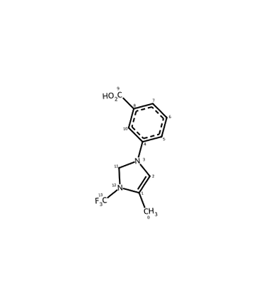 CC1=CN(c2cccc(C(=O)O)c2)CN1C(F)(F)F